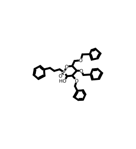 O=P1(CCCc2ccccc2)OC(COCc2ccccc2)C(OCc2ccccc2)C(OCc2ccccc2)C1O